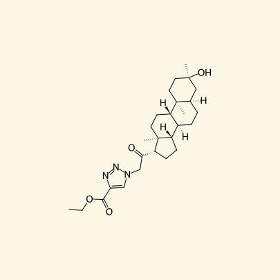 CCOC(=O)c1cn(CC(=O)[C@H]2CC[C@H]3[C@@H]4CC[C@@H]5C[C@](C)(O)CC[C@]5(C)[C@H]4CC[C@]23C)nn1